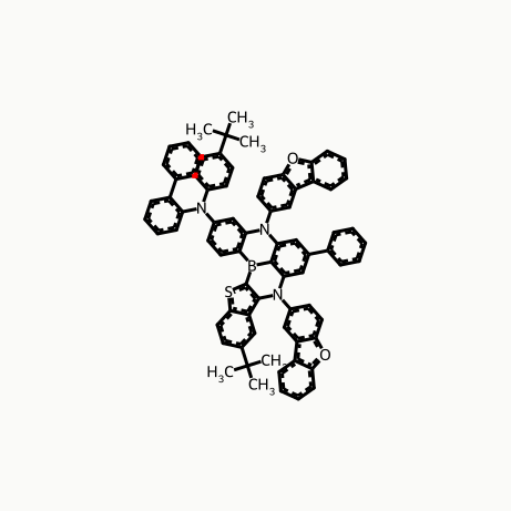 CC(C)(C)c1ccc(N(c2ccc3c(c2)N(c2ccc4oc5ccccc5c4c2)c2cc(-c4ccccc4)cc4c2B3c2sc3ccc(C(C)(C)C)cc3c2N4c2ccc3oc4ccccc4c3c2)c2ccccc2-c2ccccc2)cc1